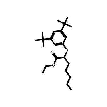 CCCCCC(Sc1cc(C(C)(C)C)cc(C(C)(C)C)c1)C(=O)OCC